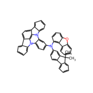 CC1(C)c2ccccc2-c2ccc(N(c3ccc4c(c3)n3c5ccccc5c5ccc6c7ccccc7n4c6c53)c3cccc4oc5ccccc5c34)cc21